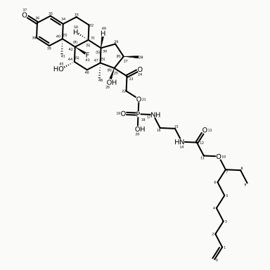 C=CCCCCCC(CC)OCC(=O)NCCNP(=O)(O)OCC(=O)[C@@]1(O)[C@H](C)C[C@H]2[C@@H]3CCC4=CC(=O)C=C[C@]4(C)[C@@]3(F)[C@@H](O)C[C@@]21C